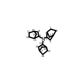 C1CC2CC1CC2N(C1CC2CCC1C2)C1CC2CCC1C2